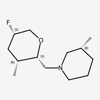 C[C@@H]1CCCN(C[C@H]2OC[C@@H](F)C[C@H]2C)C1